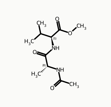 COC(=O)[C@@H](NC(=O)[C@@H](C)NC(C)=O)C(C)C